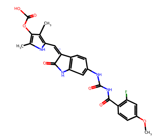 COc1ccc(C(=O)NC(=O)Nc2ccc3c(c2)NC(=O)/C3=C\c2[nH]c(C)c(OC(=O)O)c2C)c(F)c1